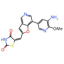 COc1ncc(-c2cncc3cc(C=C4SC(=O)NC4=O)oc23)cc1N